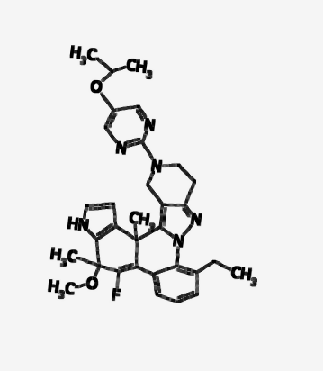 CCc1cccc2c1-n1nc3c(c1C1(C)C2=C(F)C(C)(OC)c2[nH]ccc21)CN(c1ncc(OC(C)C)cn1)CC3